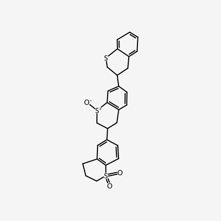 O=S1(=O)CCCc2cc(C3Cc4ccc(C5CSc6ccccc6C5)cc4[S+]([O-])C3)ccc21